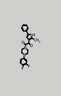 Cc1[nH]c(-c2ccccc2)cc1C(=O)C(=O)N1CCN(c2ccc(F)c(F)c2)CC1